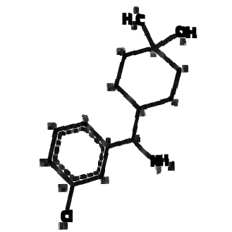 CC1(O)CCC(C(N)c2cc[c]c(Cl)c2)CC1